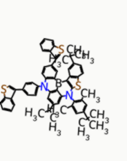 Cc1cc(C(C)(C)C)cc(C)c1N1c2cc(C(C)C)cc3c2B(c2cc(-c4csc5ccccc45)ccc2N3c2ccc(-c3csc4ccccc34)cc2)c2c1sc1ccc(C(C)(C)C)cc21